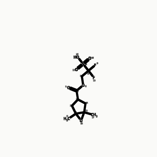 CC12CC(C(=O)OCC(F)(F)S(=O)(=O)O)CC1(C)O2